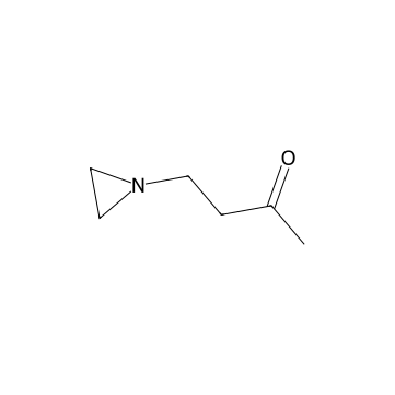 CC(=O)CCN1CC1